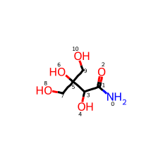 NC(=O)C(O)C(O)(CO)CO